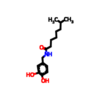 CC(C)CCCCCC(=O)NCc1ccc(O)c(O)c1